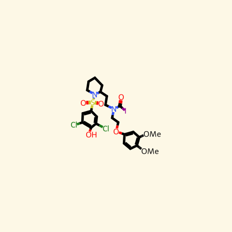 COc1ccc(OCCN(CCC2CCCCN2S(=O)(=O)c2cc(Cl)c(O)c(Cl)c2)C(=O)I)cc1OC